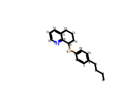 CCCCc1ccc(SC2CCCc3cccnc32)cc1